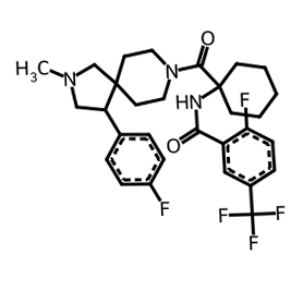 CN1CC(c2ccc(F)cc2)C2(CCN(C(=O)C3(NC(=O)c4cc(C(F)(F)F)ccc4F)CCCCC3)CC2)C1